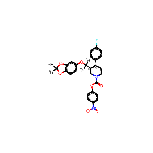 [2H]C1([2H])Oc2ccc(OC([2H])([2H])[C@@H]3CN(C(=O)Oc4ccc([N+](=O)[O-])cc4)CC[C@H]3c3ccc(F)cc3)cc2O1